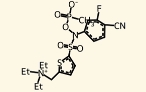 CC[N+](CC)(CC)Cc1ccc(S(=O)(=O)N(OP(C)(=O)[O-])c2ccc(C#N)c(F)c2)s1